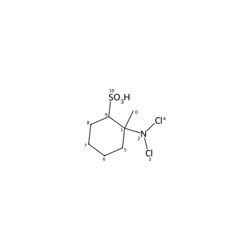 CC1(N(Cl)Cl)CCCCC1S(=O)(=O)O